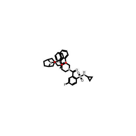 Cc1nc2ccccc2n1C1CC2CCC(C1)N2CCC1(c2ccccc2)CCN(C(=O)c2cc(F)ccc2S(=O)(=O)NC2CC2)CC1